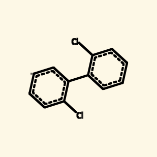 Clc1cc[c]cc1-c1ccccc1Cl